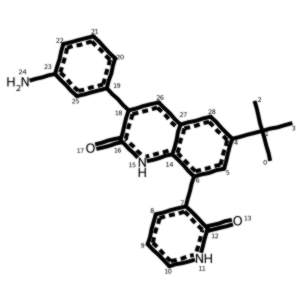 CC(C)(C)c1cc(-c2ccc[nH]c2=O)c2[nH]c(=O)c(-c3cccc(N)c3)cc2c1